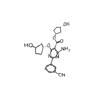 N#Cc1cccc(-c2nc(N)c(C(=O)O[C@H]3CC[C@H](O)C3)c(O[C@@H]3CC[C@@H](O)C3)n2)c1